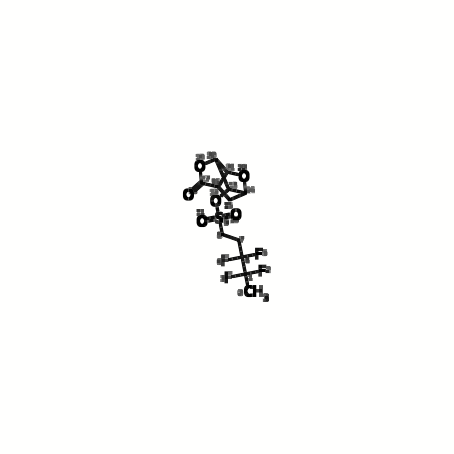 CC(F)(F)C(F)(F)CCS(=O)(=O)OC1C2CC3C(=O)OC1C3O2